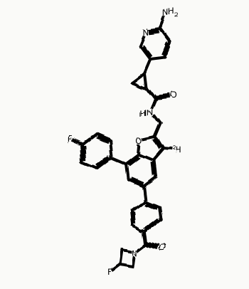 [2H]c1c(CNC(=O)C2CC2c2ccc(N)nc2)oc2c(-c3ccc(F)cc3)cc(-c3ccc(C(=O)N4CC(F)C4)cc3)cc12